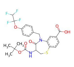 CC(C)(C)OC(=O)NC1CSc2ccc(C(=O)O)cc2N(Cc2ccc(OC(F)(F)C(F)F)cc2)C1=O